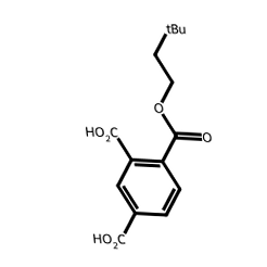 CC(C)(C)CCOC(=O)c1ccc(C(=O)O)cc1C(=O)O